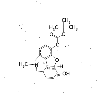 CN1CC[C@]23c4c5ccc(OC(=O)OC(C)(C)C)c4O[C@H]2[C@H](O)C=CC3C1C5